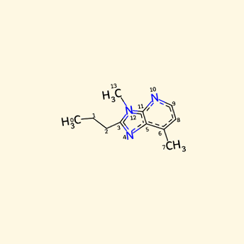 CCCc1nc2c(C)ccnc2n1C